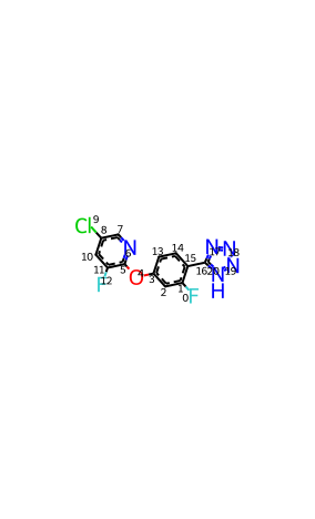 Fc1cc(Oc2ncc(Cl)cc2F)ccc1-c1nnn[nH]1